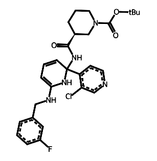 CC(C)(C)OC(=O)N1CCC[C@H](C(=O)NC2(c3ccncc3Cl)C=CC=C(NCc3cccc(F)c3)N2)C1